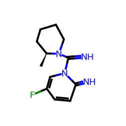 C[C@H]1CCCCN1C(=N)n1cc(F)ccc1=N